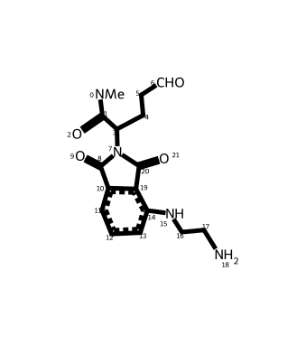 CNC(=O)C(CCC=O)N1C(=O)c2cccc(NCCN)c2C1=O